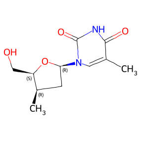 Cc1cn([C@H]2C[C@@H](C)[C@@H](CO)O2)c(=O)[nH]c1=O